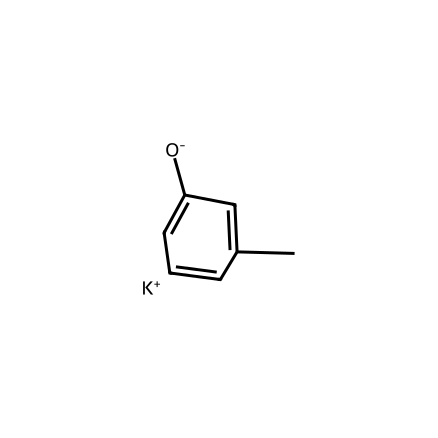 Cc1cccc([O-])c1.[K+]